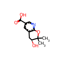 CC1(C)Oc2ncc(C(=O)O)cc2C[C@@H]1O